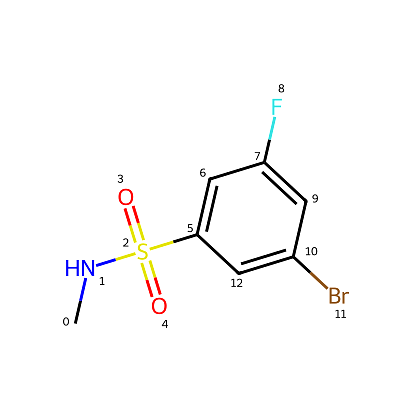 CNS(=O)(=O)c1cc(F)cc(Br)c1